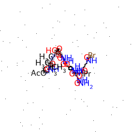 CC(=O)O[C@@H](C)/C=C\C(=O)N[C@@H]1C[C@H](C)[C@H](C/C=C(C)/C=C/[C@H]2O[C@H](CC(=O)NCNC(=O)OCc3ccc(NC(=O)[C@H](CCCNC(N)=O)NC(=O)C(NC(=O)CCCCCNC(=O)CBr)C(C)C)cc3)C[C@@]3(CO3)[C@@H]2O)O[C@@H]1C